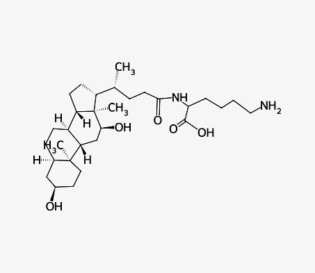 C[C@H](CCC(=O)NC(CCCCN)C(=O)O)[C@H]1CC[C@H]2[C@@H]3CC[C@@H]4C[C@H](O)CC[C@]4(C)[C@H]3C[C@H](O)[C@]12C